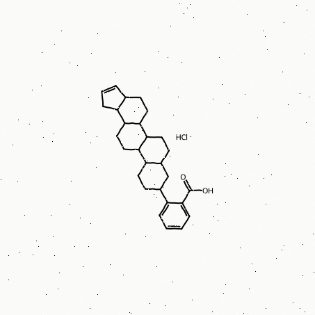 Cl.O=C(O)c1ccccc1C1CCC2C(CCC3C2CCC2C4CC=CC4CCC23)C1